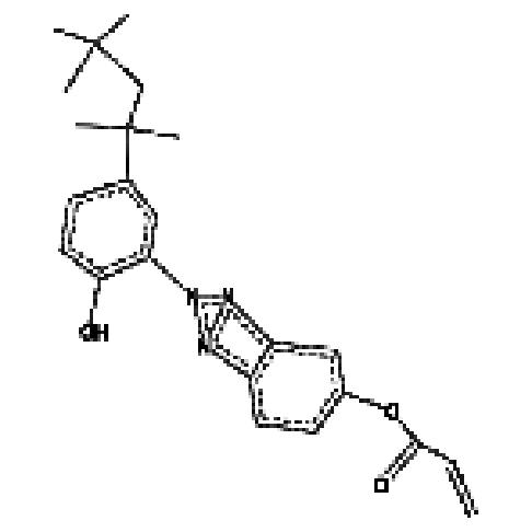 C=CC(=O)Oc1ccc2c(c1)n1n(-c3cc(C(C)(C)CC(C)(C)C)ccc3O)n21